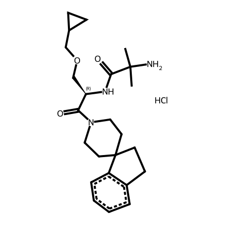 CC(C)(N)C(=O)N[C@H](COCC1CC1)C(=O)N1CCC2(CCc3ccccc32)CC1.Cl